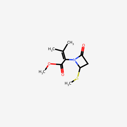 COC(=O)C(=C(C)C)N1C(=O)CC1SC